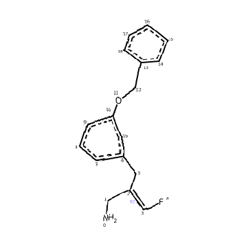 NC/C(=C/F)Cc1cccc(OCc2ccccc2)c1